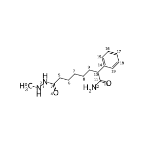 CNNC(=O)CCCCCC(C(N)=O)c1ccccc1